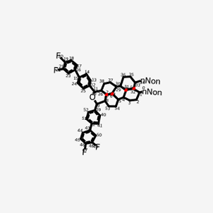 CCCCCCCCCC1CCC(C2CCC(C(OC(c3ccc(-c4ccc(F)c(F)c4)cc3)C3CCC(C4CCC(CCCCCCCCC)CC4)CC3)c3ccc(-c4ccc(F)c(F)c4)cc3)CC2)CC1